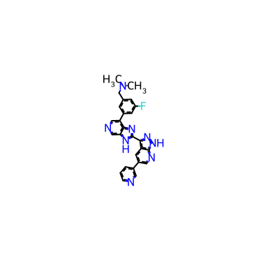 CN(C)Cc1cc(F)cc(-c2cncc3[nH]c(-c4n[nH]c5ncc(-c6cccnc6)cc45)nc23)c1